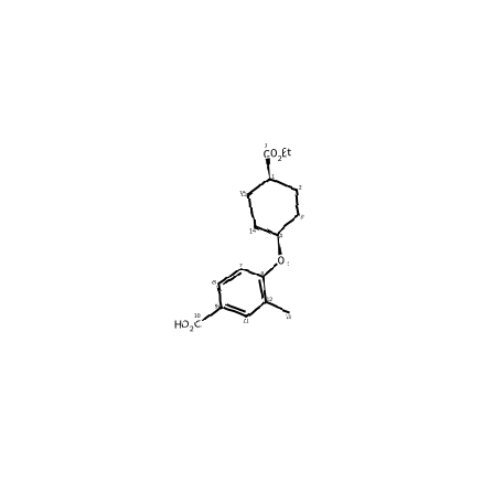 CCOC(=O)[C@H]1CC[C@@H](Oc2ccc(C(=O)O)cc2C)CC1